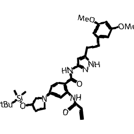 C=CC(=O)Nc1cc(N2CCC(O[Si](C)(C)C(C)(C)C)C2)ccc1C(=O)Nc1cc(CCc2cc(OC)cc(OC)c2)[nH]n1